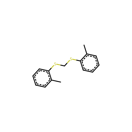 Cc1ccccc1SCSc1ccccc1C